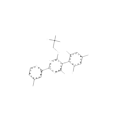 Cc1ccnc(-c2nc(Cl)c(-c3c(F)cc(F)cc3F)c(NCC(F)(F)F)n2)c1